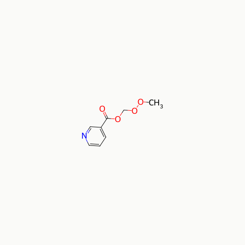 COOCOC(=O)c1cccnc1